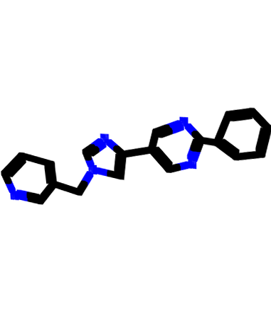 c1ccc(-c2ncc(-c3cn(Cc4cccnc4)cn3)cn2)cc1